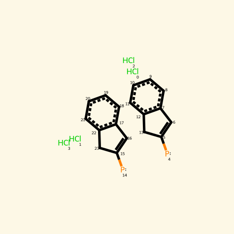 Cl.Cl.Cl.Cl.[P]C1=Cc2ccccc2C1.[P]C1=Cc2ccccc2C1